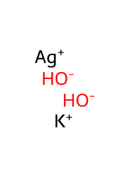 [Ag+].[K+].[OH-].[OH-]